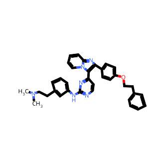 CN(C)CCc1cccc(Nc2nccc(-c3c(-c4ccc(OCCc5ccccc5)cc4)nc4ccccn34)n2)c1